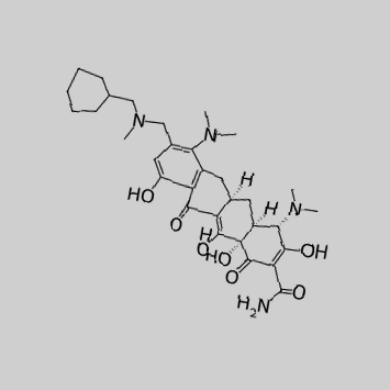 CN(Cc1cc(O)c2c(c1N(C)C)C[C@H]1C[C@H]3[C@H](N(C)C)C(O)=C(C(N)=O)C(=O)[C@@]3(O)C(O)=C1C2=O)CC1CCCCC1